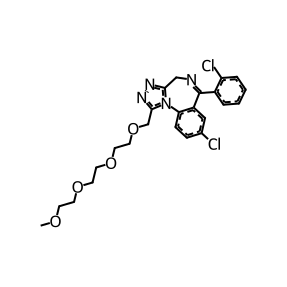 COCCOCCOCCOCc1nnc2n1-c1ccc(Cl)cc1C(c1ccccc1Cl)=NC2